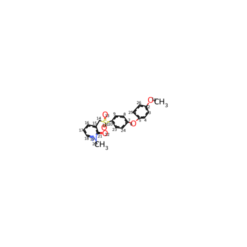 COc1ccc(Oc2ccc(S(=O)(=O)Cc3cccn(C)c3=O)cc2)cc1